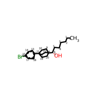 CCCCCC[C@H](O)C12CCC(c3ccc(Br)cc3)(CC1)CC2